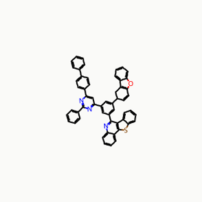 C1=CC(c2cc(-c3cc(-c4ccc(-c5ccccc5)cc4)nc(-c4ccccc4)n3)cc(-c3nc4ccccc4c4sc5ccccc5c34)c2)Cc2c1oc1ccccc21